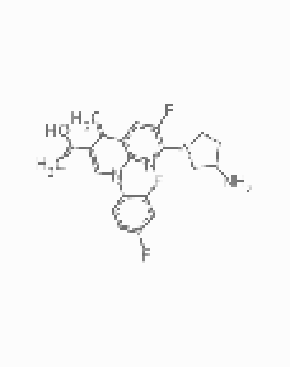 C=C(O)C1=CN(c2ccc(F)cc2F)c2nc(N3CCC(N)C3)c(F)cc2C1=C